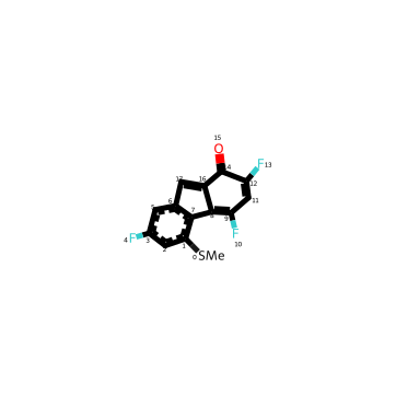 CSc1cc(F)cc2c1C1=C(F)C=C(F)C(=O)C1=C2